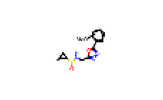 COc1ccccc1-c1nnc(CN[S+]([O-])C2CC2)o1